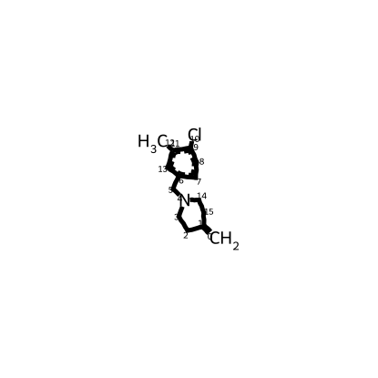 C=C1CCN(Cc2ccc(Cl)c(C)c2)CC1